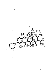 C[C@H]1c2ccc(N3CCCCC3)c(O)c2C(=O)C2=C(O)[C@]3(O)C(=O)C(C(N)=O)=C(O)[C@@H](N(C)C)[C@@H]3[C@@H](O)[C@@H]21